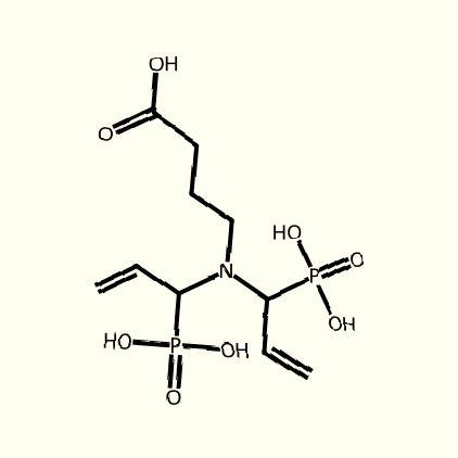 C=CC(N(CCCC(=O)O)C(C=C)P(=O)(O)O)P(=O)(O)O